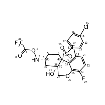 O=C(ON[C@@H]1CC[C@@]2(S(=O)(=O)c3ccc(Cl)cc3)c3c(F)ccc(F)c3OC[C@@]2(O)C1)C(F)(F)F